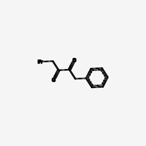 CC(C)CC(=O)C(=O)Cc1ccccc1